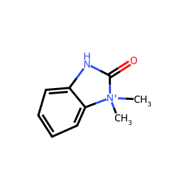 C[N+]1(C)C(=O)Nc2ccccc21